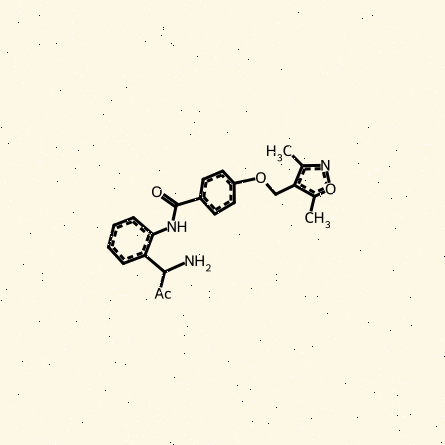 CC(=O)C(N)c1ccccc1NC(=O)c1ccc(OCc2c(C)noc2C)cc1